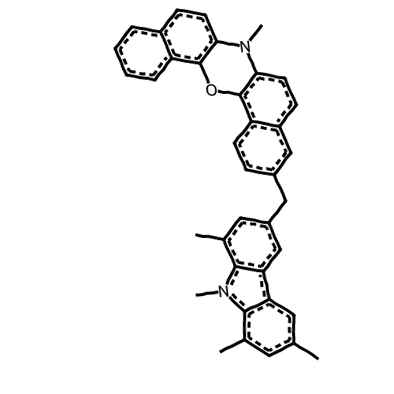 Cc1cc(C)c2c(c1)c1cc(Cc3ccc4c5c(ccc4c3)N(C)c3ccc4ccccc4c3O5)cc(C)c1n2C